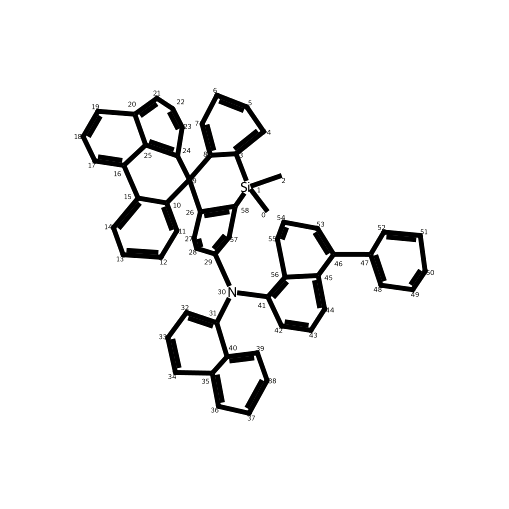 C[Si]1(C)c2ccccc2C2(c3ccccc3-c3cccc4cccc2c34)c2ccc(N(c3cccc4ccccc34)c3cccc4c(-c5ccccc5)cccc34)cc21